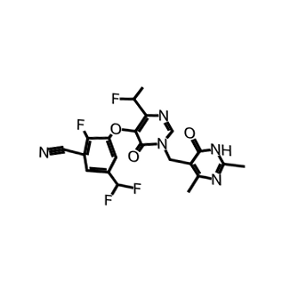 Cc1nc(C)c(Cn2cnc(C(C)F)c(Oc3cc(C(F)F)cc(C#N)c3F)c2=O)c(=O)[nH]1